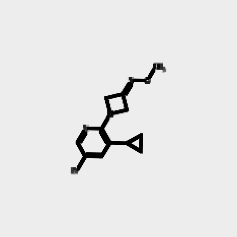 CON=C1CN(c2ncc(Br)cc2C2CC2)C1